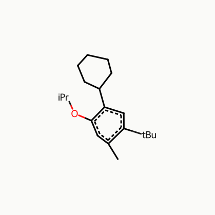 Cc1cc(OC(C)C)c(C2CCCCC2)cc1C(C)(C)C